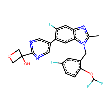 Cc1nc2cc(F)c(-c3cnc(C4(O)COC4)nc3)cc2n1Cc1cc(F)ccc1OC(F)F